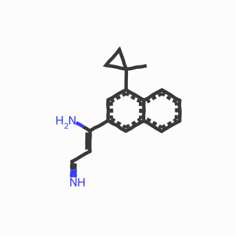 CC1(c2cc(/C(N)=C/C=N)cc3ccccc23)CC1